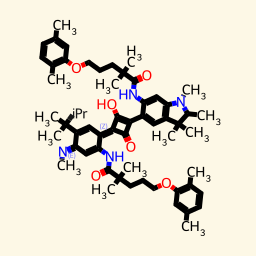 C/N=C1C=C(NC(=O)C(C)(C)CCCOc2cc(C)ccc2C)/C(=C2\C(=O)C(c3cc4c(cc3NC(=O)C(C)(C)CCCOc3cc(C)ccc3C)N(C)C(C)C4(C)C)=C2O)C=C\1C(C)(C)C(C)C